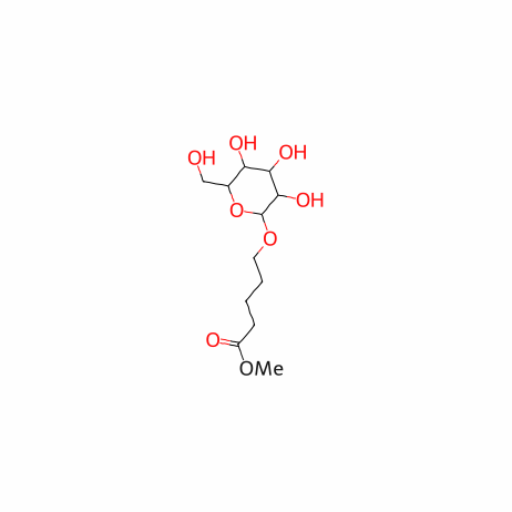 COC(=O)CCCCOC1OC(CO)C(O)C(O)C1O